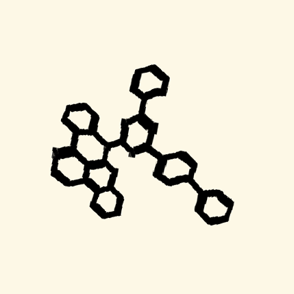 c1ccc(-c2ccc(-c3nc(-c4ccccc4)nc(N4c5ccccc5-c5nccc6c5c4nc4ccccc46)n3)cc2)cc1